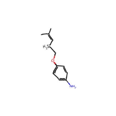 CC(C)=C[SiH2]COc1ccc(N)cc1